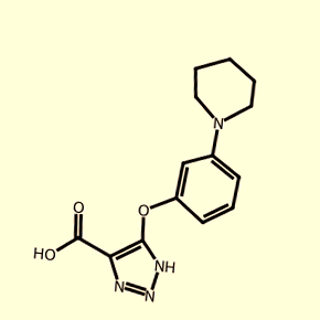 O=C(O)c1nn[nH]c1Oc1cccc(N2CCCCC2)c1